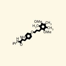 COc1c(C)c(C)c(OC)c(CCCOc2ccc(C[C@H](N)C(=O)NC(C)C)cc2)c1C